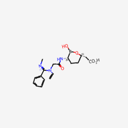 C=CN(CC(=O)N[C@H]1CC[C@@H](CC(=O)O)OB1O)/C(=N\C)c1ccccc1